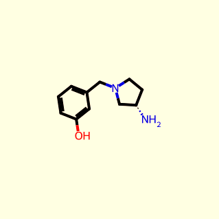 N[C@H]1CCN(Cc2cccc(O)c2)C1